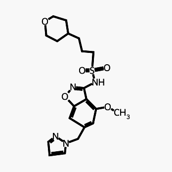 COc1cc(Cn2cccn2)cc2onc(NS(=O)(=O)CCCC3CCOCC3)c12